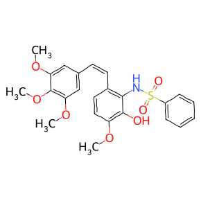 COc1ccc(/C=C\c2cc(OC)c(OC)c(OC)c2)c(NS(=O)(=O)c2ccccc2)c1O